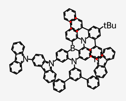 CC(C)(C)c1cc(-c2ccccc2)c(N2c3cc(-c4ccccc4)ccc3B3c4ccc(-n5c6ccccc6c6cc(-n7c8ccccc8c8ccccc87)ccc65)cc4N(c4cc(-c5ccccc5)cc(-c5ccccc5)c4)c4cc(-n5c6ccccc6c6ccccc65)cc2c43)c(-c2ccccc2)c1